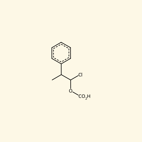 CC(c1ccccc1)C(Cl)OC(=O)O